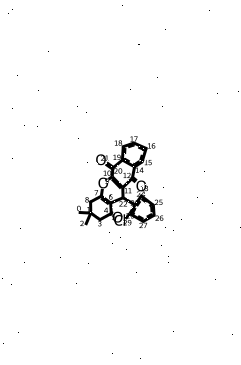 CC1(C)CC(=O)C2=C(C1)OC1=C(C(=O)c3ccccc3C1=O)C2c1ccccc1Cl